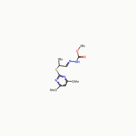 COc1cc(OC)nc(SC(C=NNC(=O)OC(C)(C)C)C(C)(C)C)n1